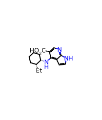 CC[C@@H]1CCCC[C@@H]1Nc1c(C(=O)O)cnc2[nH]ccc12